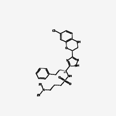 CCN(CC)CCCS(=O)(=O)N[C@H](CCc1ccccc1)c1nc(C2CNc3ccc(Cl)cc3O2)n[nH]1